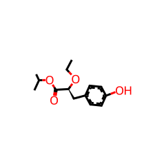 CCO[C@@H](Cc1ccc(O)cc1)C(=O)OC(C)C